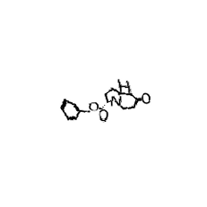 O=C1CCN2[C@@H](CC[C@H]2C(=O)OCc2ccccc2)C1